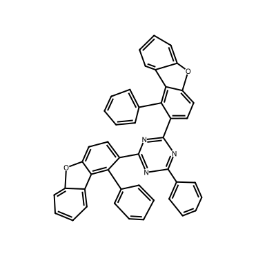 c1ccc(-c2nc(-c3ccc4oc5ccccc5c4c3-c3ccccc3)nc(-c3ccc4oc5ccccc5c4c3-c3ccccc3)n2)cc1